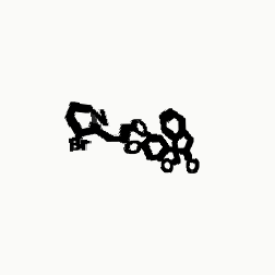 O=C1Cc2ccccc2C12COc1cc3c(cc12)OCC(Cc1ncccc1Br)O3